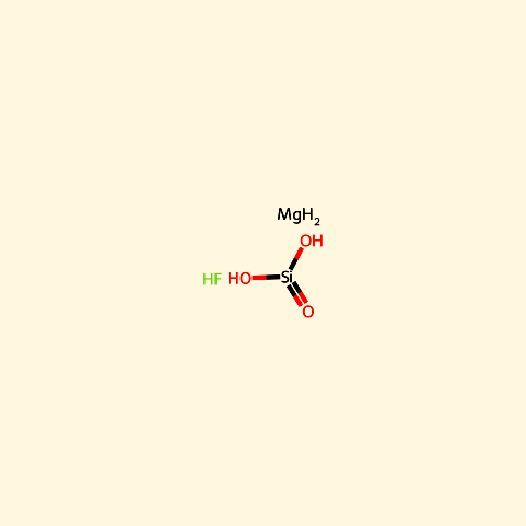 F.O=[Si](O)O.[MgH2]